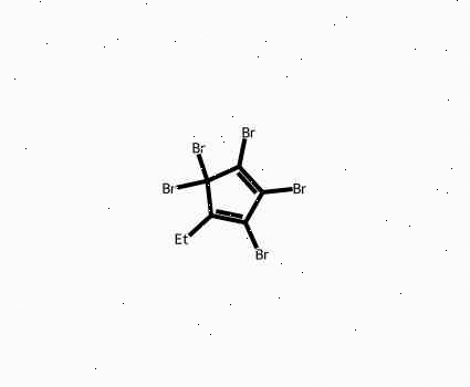 CCC1=C(Br)C(Br)=C(Br)C1(Br)Br